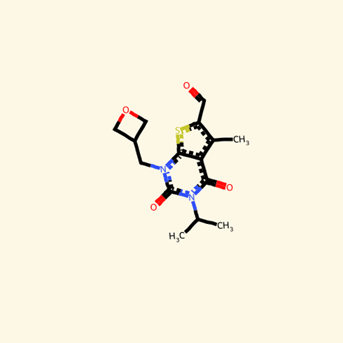 Cc1c(C=O)sc2c1c(=O)n(C(C)C)c(=O)n2CC1COC1